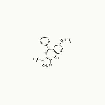 COc1ccc2c(c1)C(c1ccccc1)=N[C@@H](C(C)C)C(=O)N2